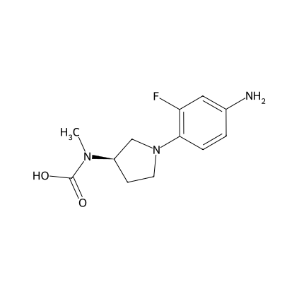 CN(C(=O)O)[C@@H]1CCN(c2ccc(N)cc2F)C1